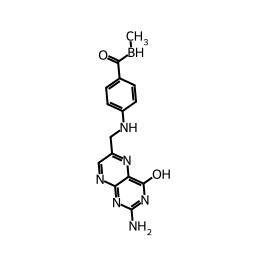 CBC(=O)c1ccc(NCc2cnc3nc(N)nc(O)c3n2)cc1